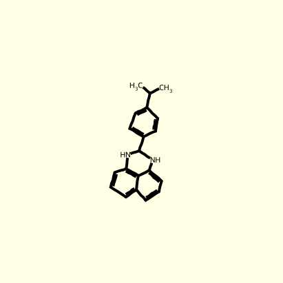 CC(C)c1ccc(C2Nc3cccc4cccc(c34)N2)cc1